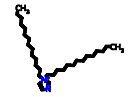 CCCCCCCCCCCCCC[N+]1(CCCCCCCCCCCCCC)C=CN=C1